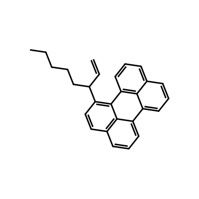 C=CC(CCCCC)c1ccc2cccc3c4cccc5cccc(c1c23)c54